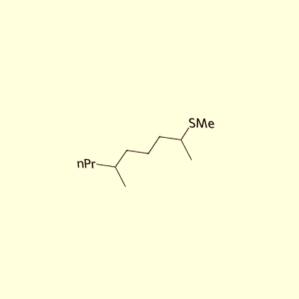 [CH2]CCC(C)CCCC(C)SC